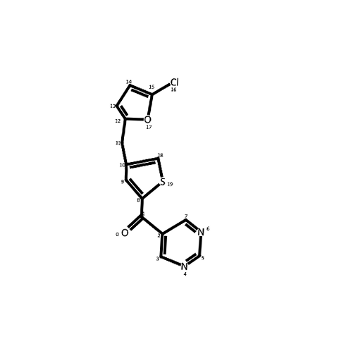 O=C(c1cncnc1)c1cc(Cc2ccc(Cl)o2)cs1